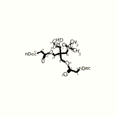 CCCCCCCCCCCC(=O)OCC(COC=O)(COC(=O)CCCCCCCCCCC)C[N+](C)(C)C